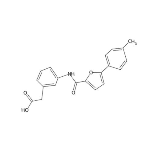 Cc1ccc(-c2ccc(C(=O)Nc3cccc(CC(=O)O)c3)o2)cc1